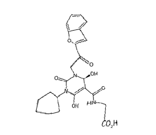 O=C(O)CNC(=O)C1=C(O)N(C2CCCCC2)C(=O)N(CC(=O)c2cc3ccccc3o2)[C@H]1O